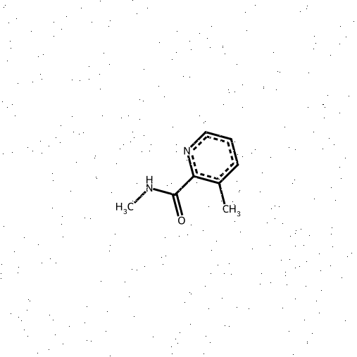 CNC(=O)c1ncccc1C